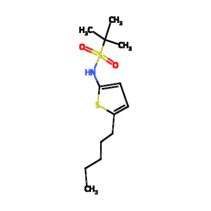 CCCCCc1ccc(NS(=O)(=O)C(C)(C)C)s1